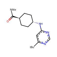 CNC(=O)[C@H]1CC[C@H](Nc2cc(C(C)(C)C)ncn2)CC1